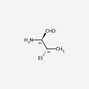 CC[C@@H](C)[C@@H](N)[C]=O